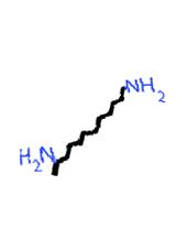 C=C(N)CCCCCCCCCCN